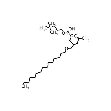 CCCCCCCCCCCCCCCOCC(COP(O)OCCC[N+](C)(C)C)CC(C)=O